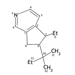 CCC1c2ccncc2CC1C(C)(C)CC